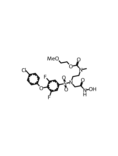 COCCOC(=O)N(C)CCN(CC(=O)NO)S(=O)(=O)c1cc(F)c(Oc2ccc(Cl)cc2)c(F)c1